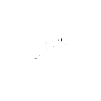 C=CCOc1cccc(C(Cl)(Cl)c2ccccc2)c1F